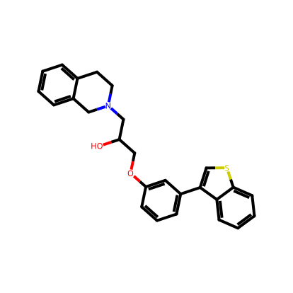 OC(COc1cccc(-c2csc3ccccc23)c1)CN1CCc2ccccc2C1